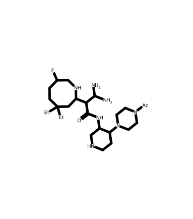 CCC1(CC)CCC(F)CNC(C(C(=O)NC2CNCCC2N2CCN(C(C)=O)CC2)C(N)N)C1